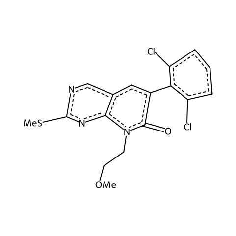 COCCn1c(=O)c(-c2c(Cl)cccc2Cl)cc2cnc(SC)nc21